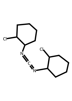 ClC1CCCCC1N=C=NC1CCCCC1Cl